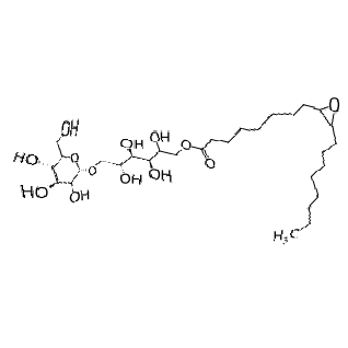 CCCCCCCCC1OC1CCCCCCCC(=O)OCC(O)[C@@H](O)[C@H](O)[C@H](O)CO[C@H]1OC(CO)[C@@H](O)[C@H](O)C1O